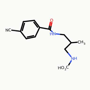 CC(CNC(=O)O)CNC(=O)c1ccc(C#N)cc1